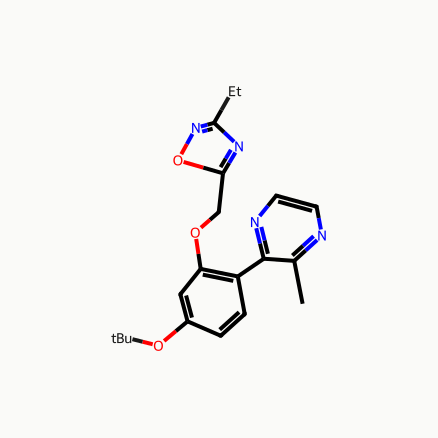 CCc1noc(COc2cc(OC(C)(C)C)ccc2-c2nccnc2C)n1